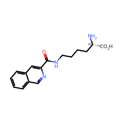 N[C@@H](CCCCNC(=O)c1cc2ccccc2cn1)C(=O)O